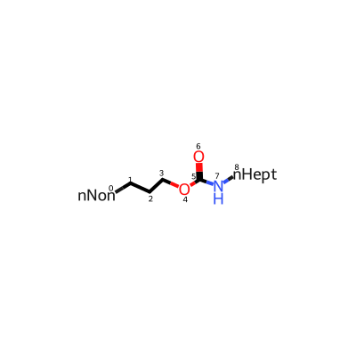 CCCCCCCCCCCCOC(=O)NCCCCCCC